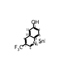 Oc1ccc2ncc(C(F)(F)F)cc2c1.[Sn]